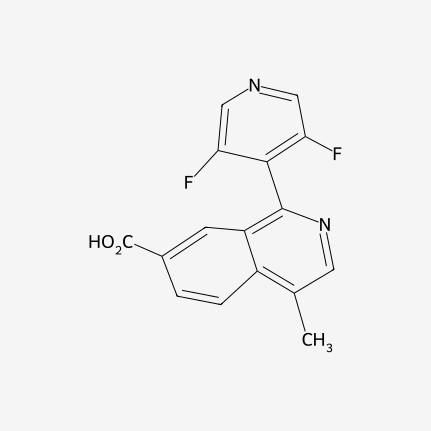 Cc1cnc(-c2c(F)cncc2F)c2cc(C(=O)O)ccc12